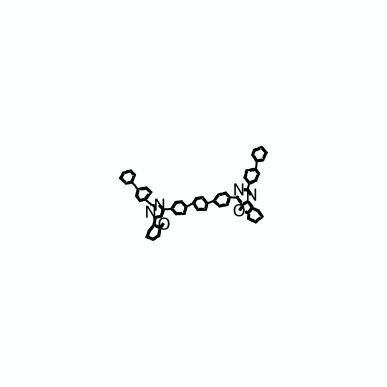 c1ccc(-c2ccc(-c3nc(-c4ccc(-c5ccc(-c6ccc(-c7nc(-c8ccc(-c9ccccc9)cc8)nc8c7oc7ccccc78)cc6)cc5)cc4)c4oc5ccccc5c4n3)cc2)cc1